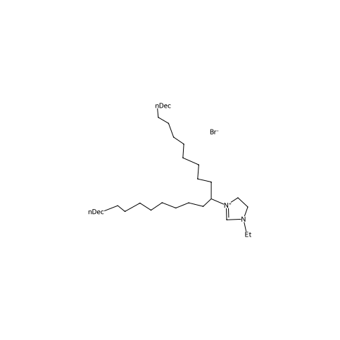 CCCCCCCCCCCCCCCCCCC(CCCCCCCCCCCCCCCCCC)[N+]1=CN(CC)CC1.[Br-]